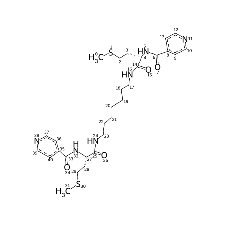 CSCC[C@H](NC(=O)c1ccncc1)C(=O)NCCCCCCCNC(=O)[C@H](CCSC)NC(=O)c1ccncc1